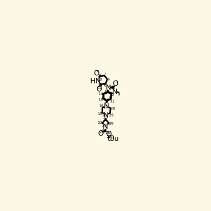 Cn1c(=O)n(C2CCC(=O)NC2=O)c2ccc(N3CCN(C4CN(C(=O)OC(C)(C)C)C4)CC3)cc21